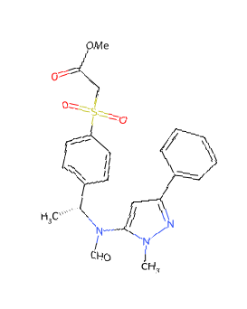 COC(=O)CS(=O)(=O)c1ccc([C@@H](C)N(C=O)c2cc(-c3ccccc3)nn2C)cc1